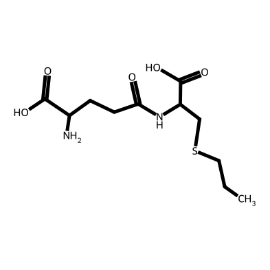 CCCSCC(NC(=O)CCC(N)C(=O)O)C(=O)O